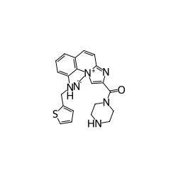 N#C[N+]12C=C(C(=O)N3CCNCC3)N=C1C=Cc1cccc(NCc3cccs3)c12